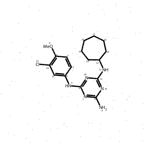 COc1ccc(Nc2nc(N)nc(NC3CCCCCC3)n2)cc1Cl